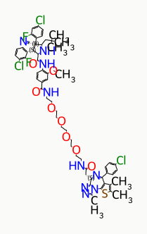 COc1cc(C(=O)NCCOCCOCCOCCOCCNC(=O)C[C@@H]2N=C(c3ccc(Cl)cc3)c3c(sc(C)c3C)-n3c(C)nnc32)ccc1NC(=O)C1NC(CC(C)(C)C)[C@](C#N)(c2ccc(Cl)cc2F)[C@H]1c1cccc(Cl)c1F